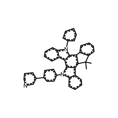 CC1(C)c2ccccc2-c2c1c1c3ccccc3n(-c3ccc(-c4cccnc4)cc3)c1c1c3ccccc3n(-c3ccccc3)c21